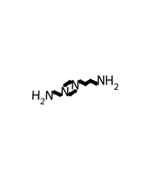 NCCCCN1CCN(CCN)CC1